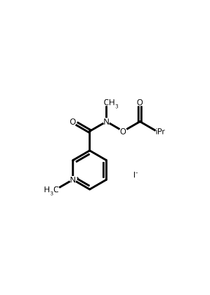 CC(C)C(=O)ON(C)C(=O)c1ccc[n+](C)c1.[I-]